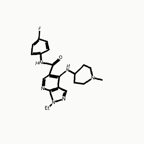 CCn1ncc2c(NC3CCN(C)CC3)c(C(=O)Nc3ccc(F)cc3)cnc21